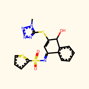 Cn1nnnc1SC1=C/C(=N\S(=O)(=O)c2cccs2)c2ccccc2C1O